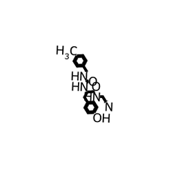 Cc1ccc(CNC(=O)NC(Cc2ccc(O)cc2)C(=O)NCC#N)cc1